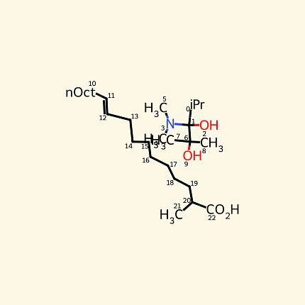 CC(C)C(O)(N(C)C)C(C)(C)O.CCCCCCCCC=CCCCCCCCC(C)C(=O)O